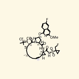 COc1cc2cc(F)ccc2c(O[C@@H]2C[C@H]3C(=O)N[C@]4(C(=O)NS(=O)(=O)C5(CF)CC5)C[C@H]4/C=C\CC[C@H](C)C[C@@H](C)[C@H](N(C(=O)O)C(C)(C)C(F)(F)F)C(=O)N3C2)n1